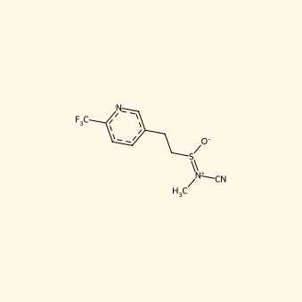 C[N+](C#N)=S([O-])CCc1ccc(C(F)(F)F)nc1